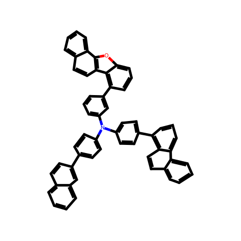 c1cc(-c2cccc3oc4c5ccccc5ccc4c23)cc(N(c2ccc(-c3ccc4ccccc4c3)cc2)c2ccc(-c3cccc4c3ccc3ccccc34)cc2)c1